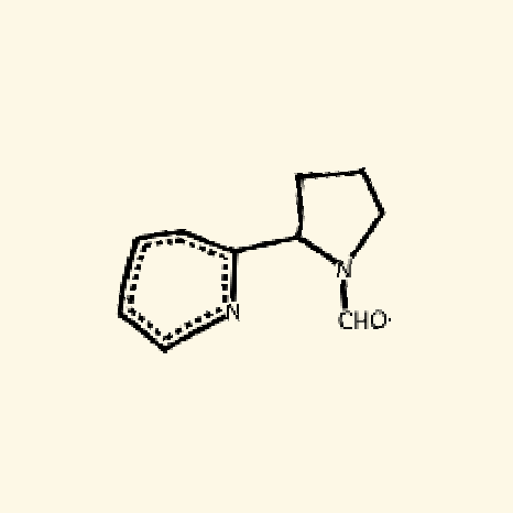 O=[C]N1CCCC1c1ccccn1